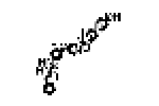 O=C(Cc1ccccc1)NC(=S)Nc1ccc(Oc2ccnc(NC(=O)N3CCC(N4CCC(O)CC4)CC3)c2)c(F)c1